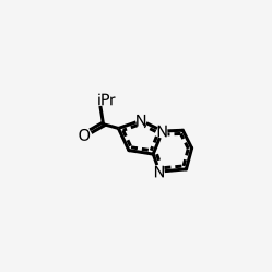 CC(C)C(=O)c1cc2ncccn2n1